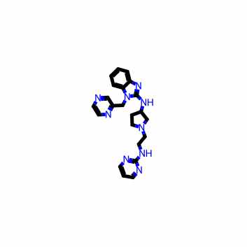 c1cnc(NCCN2CCC(Nc3nc4ccccc4n3Cc3cnccn3)C2)nc1